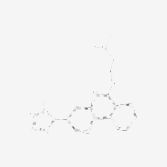 CN(C)CCNc1nc2cc(-c3nnn[nH]3)ccc2c2ccccc12